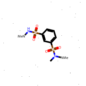 CNNS(=O)(=O)c1cccc(S(=O)(=O)N(C)NC)c1